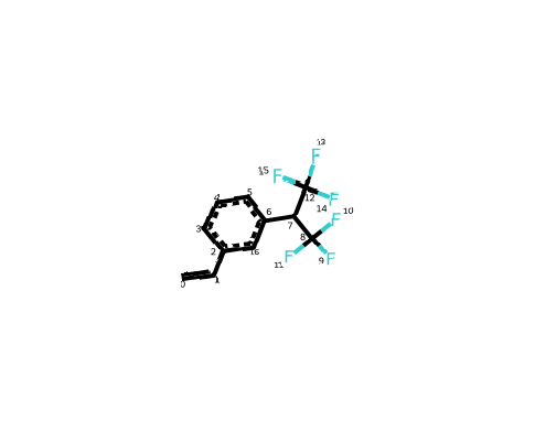 C=Cc1cccc(C(C(F)(F)F)C(F)(F)F)c1